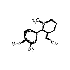 COc1ccc(C2C(CO)CCCN2C)cc1C